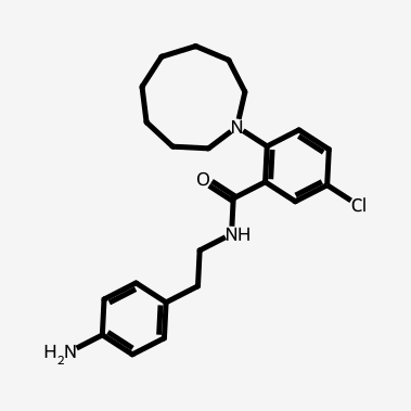 Nc1ccc(CCNC(=O)c2cc(Cl)ccc2N2CCCCCCCC2)cc1